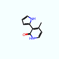 Cc1cc[nH]c(=O)c1-c1ccc[nH]1